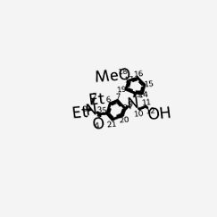 CCN(CC)C(=O)c1ccc(N(CCO)c2cccc(OC)c2)cc1